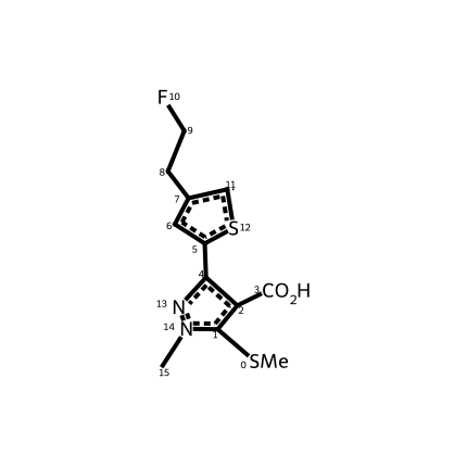 CSc1c(C(=O)O)c(-c2cc(CCF)[c]s2)nn1C